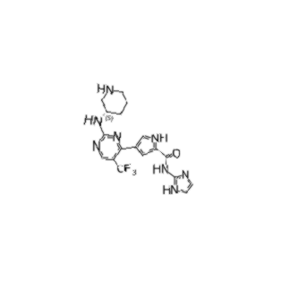 O=C(Nc1ncc[nH]1)c1cc(-c2nc(N[C@H]3CCCNC3)ncc2C(F)(F)F)c[nH]1